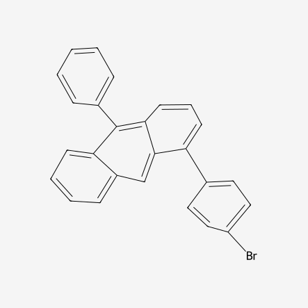 Brc1ccc(-c2cccc3c(-c4ccccc4)c4ccccc4cc23)cc1